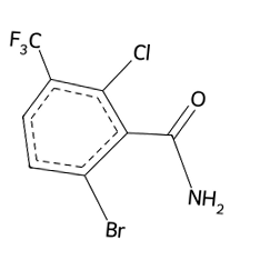 NC(=O)c1c(Br)ccc(C(F)(F)F)c1Cl